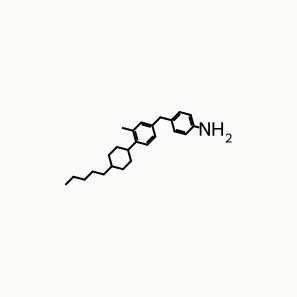 CCCCCC1CCC(c2ccc(Cc3ccc(N)cc3)cc2C)CC1